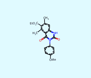 CCOC(=O)c1c(C)cc2[nH]c(=O)n(-c3ccc(OC)cc3)c(=O)c2c1C